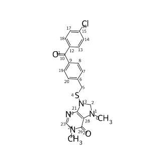 CN1CN(SCc2ccc(C(=O)c3ccc(Cl)cc3)cc2)c2ncn(C)c(=O)c21